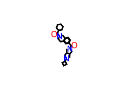 O=C(c1ccc2c(c1)CCN(C(=O)C1CCCCC1)C2)N1CC2CN(C3CCC3)CC2C1